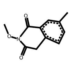 CON1C(=O)Cc2ccc(C)cc2C1=O